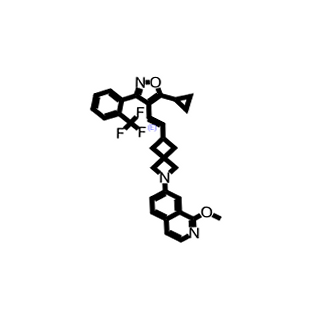 COc1nccc2ccc(N3CC4(CC(/C=C/c5c(-c6ccccc6C(F)(F)F)noc5C5CC5)C4)C3)cc12